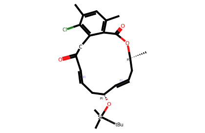 Cc1cc(C)c2c(c1Cl)CC(=O)/C=C/C[C@@H](O[Si](C)(C)C(C)(C)C)/C=C/C[C@@H](C)OC2=O